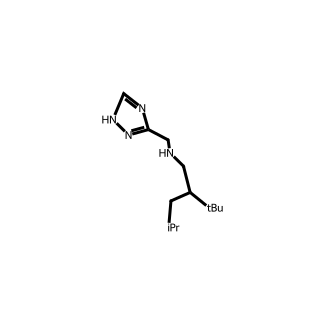 CC(C)CC(CNCc1nc[nH]n1)C(C)(C)C